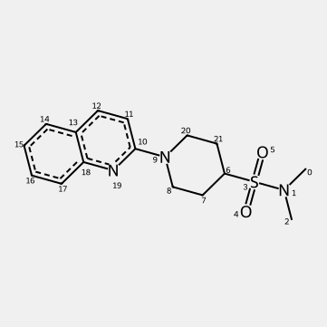 CN(C)S(=O)(=O)C1CCN(c2ccc3ccccc3n2)CC1